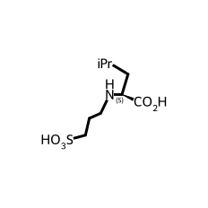 CC(C)C[C@H](NCCCS(=O)(=O)O)C(=O)O